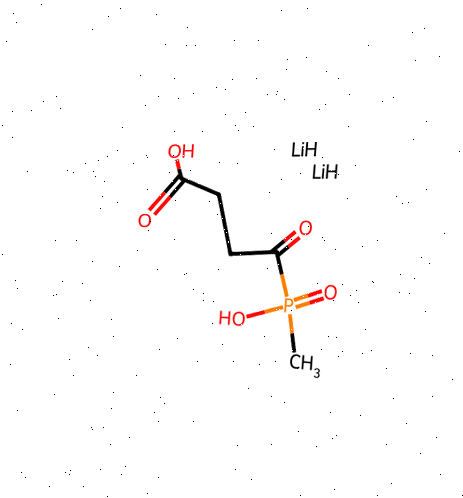 CP(=O)(O)C(=O)CCC(=O)O.[LiH].[LiH]